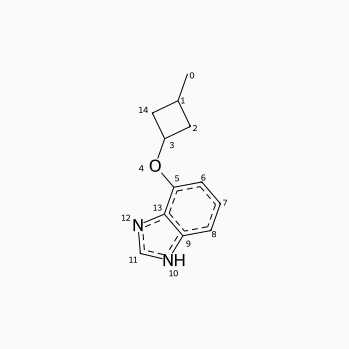 CC1CC(Oc2cccc3[nH]cnc23)C1